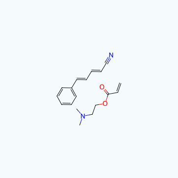 C=CC(=O)OCCN(C)C.N#CC=CC=Cc1ccccc1